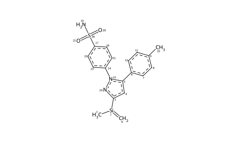 C=[Si](C)c1cc(-c2ccc(C)cc2)n(-c2ccc(S(N)(=O)=O)cc2)n1